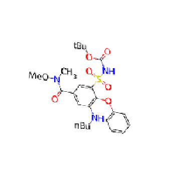 CCCCNc1cc(C(=O)N(C)OC)cc(S(=O)(=O)NC(=O)OC(C)(C)C)c1Oc1ccccc1